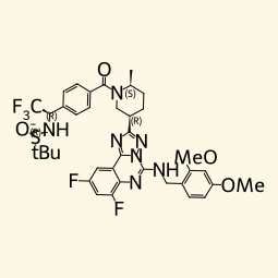 COc1ccc(CNc2nc3c(F)cc(F)cc3c3nc([C@@H]4CC[C@H](C)N(C(=O)c5ccc([C@@H](N[S@@+]([O-])C(C)(C)C)C(F)(F)F)cc5)C4)nn23)c(OC)c1